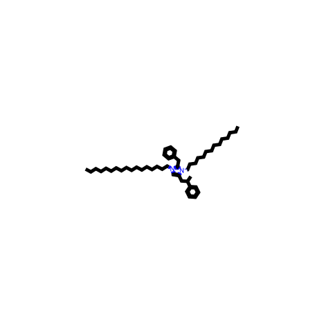 CCCCCCCCCCCCCCCCCn1cc(CC(C)c2ccccc2)[n+](CCCCCCCCCCCCCC)c1Cc1ccccc1